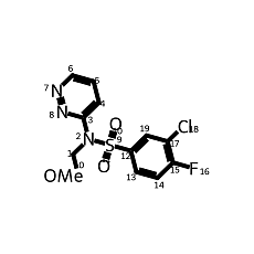 COCN(c1cccnn1)S(=O)(=O)c1ccc(F)c(Cl)c1